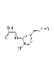 O=CC=Cc1ccc(Cl)c(OCC(=O)O)c1